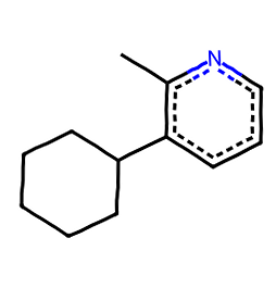 Cc1ncccc1C1CCCCC1